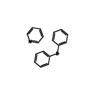 [B](c1ccccc1)c1ccccc1.c1ccncc1